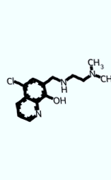 CN(C)CCNCc1cc(Cl)c2cccnc2c1O